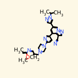 C=C(/C=N\C(=C/C)OC)CN1CCN(c2ccc(-c3cc(-c4cnn(C(C)C)c4)cn4ncc(C#N)c34)cn2)CC1